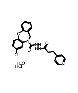 Cl.O.O=C(CCc1ccncc1)NNC(=O)N1Cc2ccccc2Oc2ccc(Cl)cc21